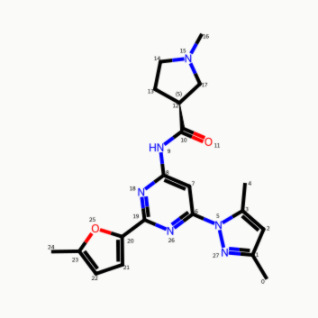 Cc1cc(C)n(-c2cc(NC(=O)[C@H]3CCN(C)C3)nc(-c3ccc(C)o3)n2)n1